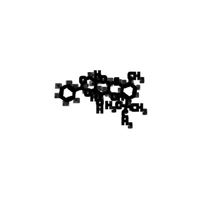 Cc1ccc(C(C)(C)C)cc1S[C@@H]1O[C@@H]2COC(c3ccccc3)O[C@H]2[C@H](O)[C@H]1O